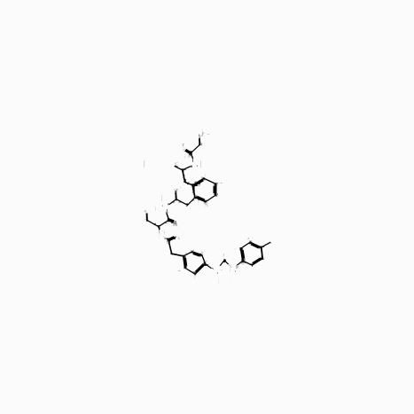 Cc1ccc(NC(=O)Nc2ccc(CC(=O)NC(CC(C)C)C(=O)NC(Cc3ccccc3CC(NC(=O)CC(C)(C)C)C(=O)O)C(=O)O)cc2)cc1